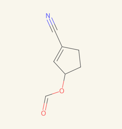 N#CC1=CC(OC=O)CC1